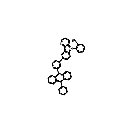 CC(C)c1ccccc1-n1c2ccc(-c3cccc(-c4c5ccccc5c(-c5ccccc5)c5ccccc45)c3)cc2c2ncccc21